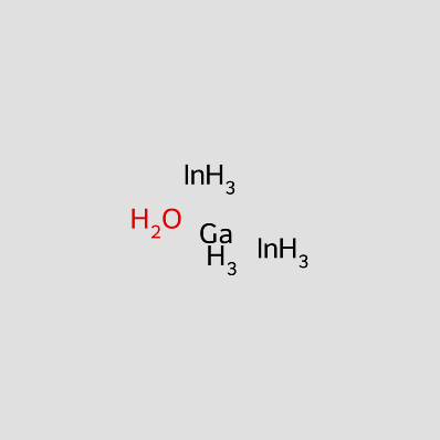 O.[GaH3].[InH3].[InH3]